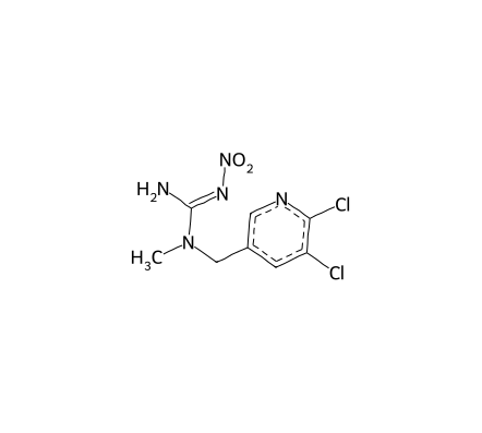 CN(Cc1cnc(Cl)c(Cl)c1)C(N)=N[N+](=O)[O-]